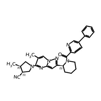 Cc1cn2nc([C@@H]3CCCCN3C(=O)c3ccc(-c4ccccc4)cn3)cc2nc1N1C[C@@H](C#N)[C@@H](C)C1